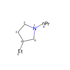 CCCN1CCC(CC)C1